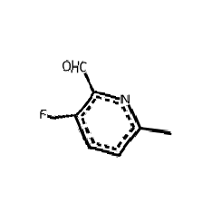 Cc1ccc(F)c(C=O)n1